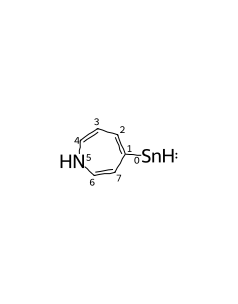 [SnH][C]1=CC=CNC=C1